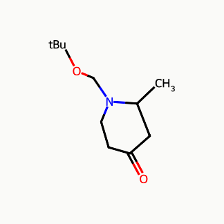 CC1CC(=O)CCN1COC(C)(C)C